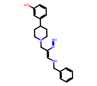 N=N/C(=C\NCc1ccccc1)CN1CCC(c2cccc(O)c2)CC1